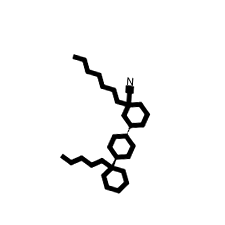 CCCCCCCC1(C#N)CCCC([C@H]2CC[C@H](C3(CCCCC)CCCCC3)CC2)C1